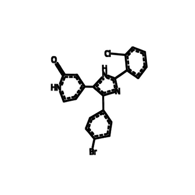 O=c1cc(-c2[nH]c(-c3ccccc3Cl)nc2-c2ccc(Br)cc2)cc[nH]1